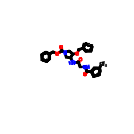 O=C(CNC(=O)c1cccc(C(F)(F)F)c1)NC1CN(C(=O)OCc2ccccc2)CC1OCc1ccccc1